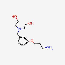 NCCCOc1cccc(CN(CCO)CCO)c1